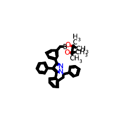 CC1(C)OB(Cc2cccc(-c3nn4c(c3-c3ccccc3)-c3ccccc3CC4c3ccccc3)c2)OC1(C)C